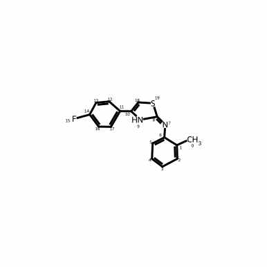 Cc1ccccc1N=c1[nH]c(-c2ccc(F)cc2)cs1